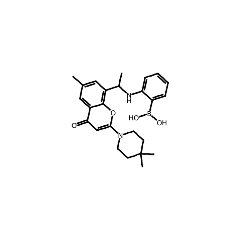 Cc1cc(C(C)Nc2ccccc2B(O)O)c2oc(N3CCC(C)(C)CC3)cc(=O)c2c1